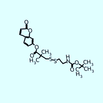 CC(C)(C)OC(=O)NCCSSCC(C)(C)C(=O)Oc1ccc2ccc(=O)oc2c1